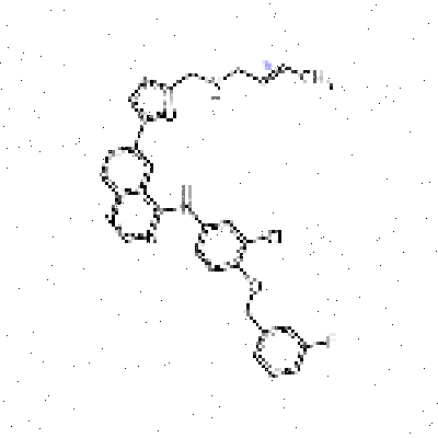 C/C=C/CNCc1ccc(-c2ccc3ncnc(Nc4ccc(OCc5cccc(F)c5)c(Cl)c4)c3c2)o1